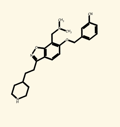 CN(C)Cc1c(OCc2cccc(C#N)c2)ccc2c(CCC3CCNCC3)noc12